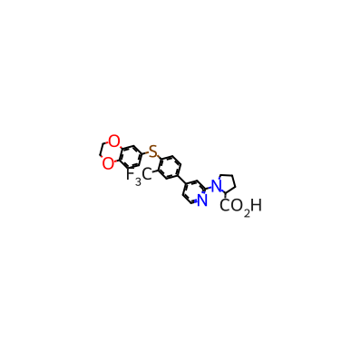 O=C(O)C1CCCN1c1cc(-c2ccc(Sc3ccc4c(c3)OCCO4)c(C(F)(F)F)c2)ccn1